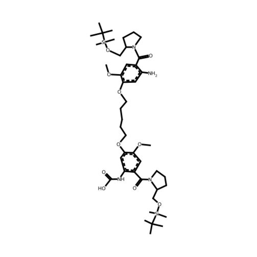 COc1cc(C(=O)N2CCCC2CO[Si](C)(C)C(C)(C)C)c(N)cc1OCCCCCOc1cc(NC(=O)O)c(C(=O)N2CCCC2CO[Si](C)(C)C(C)(C)C)cc1OC